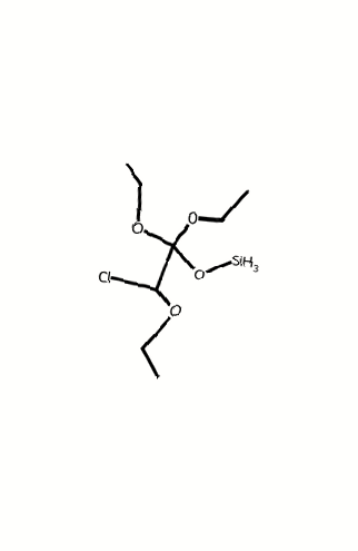 CCOC(Cl)C(O[SiH3])(OCC)OCC